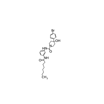 CCCCCCCC(=O)Nc1cccc(NC(=O)N2CCC(O)(c3ccc(Br)cc3)CC2)c1